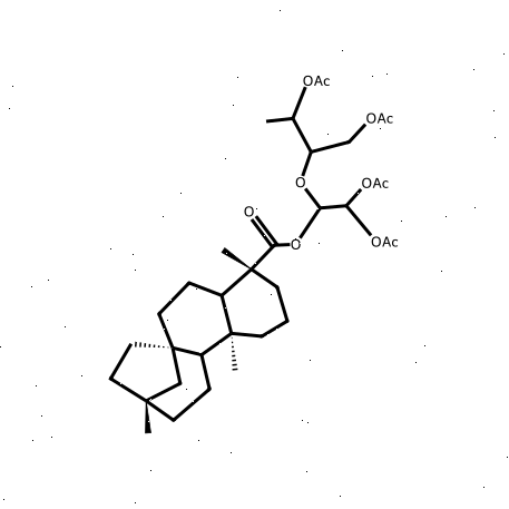 CC(=O)OCC(OC(OC(=O)[C@]1(C)CCC[C@@]2(C)C3CC[C@]4(C)CC[C@@]3(CCC21)C4)C(OC(C)=O)OC(C)=O)C(C)OC(C)=O